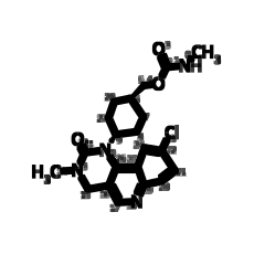 CNC(=O)OC[C@H]1CC[C@H](N2C(=O)N(C)Cc3cnc4ccc(Cl)cc4c32)CC1